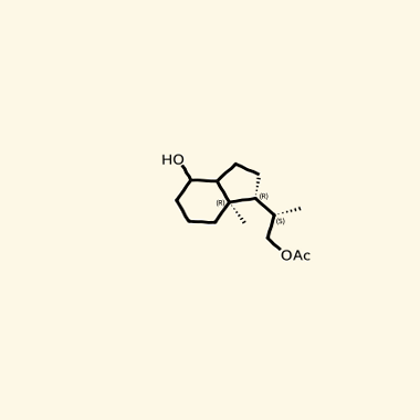 CC(=O)OC[C@@H](C)[C@H]1CCC2C(O)CCC[C@@]21C